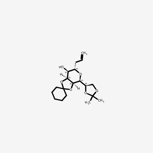 C=CC[C@@H]1O[C@@H]([C@H]2COC(C)(C)O2)[C@H]2OC3(CCCCC3)O[C@H]2[C@H]1O